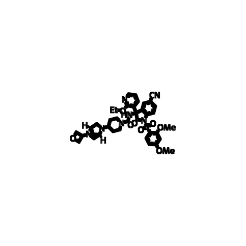 CCOc1ncccc1C1(NC(=O)N2CCC(N3C[C@@H]4C[C@H]3CN4C3COC3)CC2)C(=O)N(S(=O)(=O)c2ccc(OC)cc2OC)c2ccc(C#N)cc21